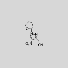 N#CCc1nn(C2CCCCO2)cc1[N+](=O)[O-]